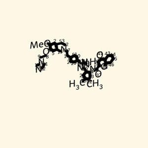 COc1cc2c(cc1OCCn1ccnc1)CN(CCc1ccc(-n3nnc(-c4cc(C)c(C)cc4NC(=O)c4cc(=O)c5ccccc5o4)n3)cc1)CC2